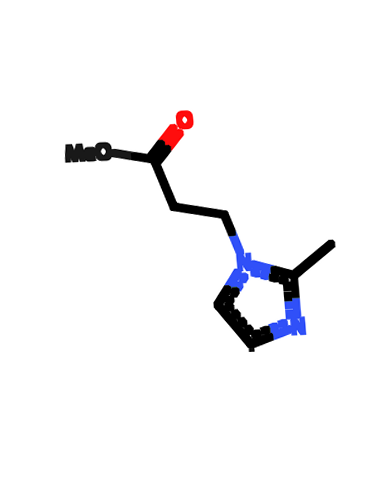 COC(=O)CCn1c[c]nc1C